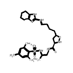 Cc1cc(C)c(S(=O)(=O)NC(CNC(=O)C2CC(CCCCNc3nc4c([nH]3)CCCC4)ON2)C(=O)O)c(C)c1